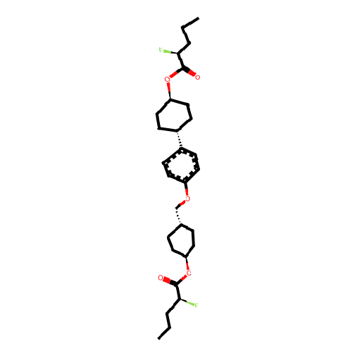 CCC[C@H](F)C(=O)O[C@H]1CC[C@H](COc2ccc([C@H]3CC[C@H](OC(=O)[C@@H](F)CCC)CC3)cc2)CC1